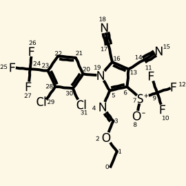 CCOC=Nc1c([S+]([O-])C(F)(F)F)c(C#N)c(C#N)n1-c1ccc(C(F)(F)F)c(Cl)c1Cl